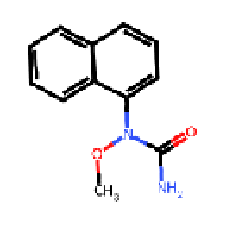 CON(C(N)=O)c1cccc2ccccc12